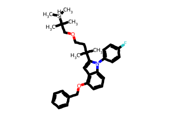 C[SiH](C)C(C)(C)COCCC(C)(C)c1cc2c(OCc3ccccc3)cccc2n1-c1ccc(F)cc1